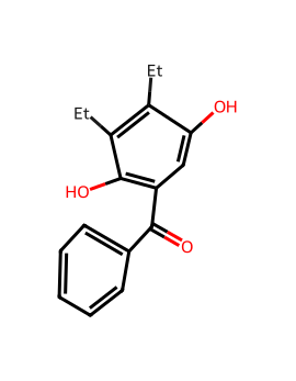 CCc1c(O)cc(C(=O)c2ccccc2)c(O)c1CC